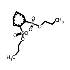 CCCOS(=O)(=O)c1ccccc1S(=O)(=O)OCCC